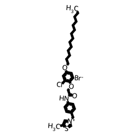 CCCCCCCCCCCCCCOc1ccc(OCC(=O)Nc2ccc(C[n+]3csc(C)c3)cc2)c(Cl)c1.[Br-]